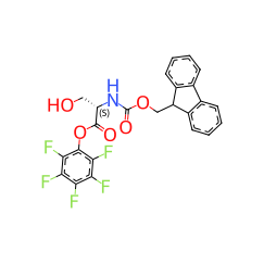 O=C(N[C@@H](CO)C(=O)Oc1c(F)c(F)c(F)c(F)c1F)OCC1c2ccccc2-c2ccccc21